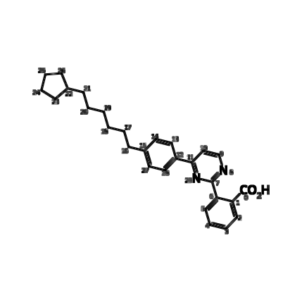 O=C(O)c1ccccc1-c1nccc(-c2ccc(CCCCCCC3CCCC3)cc2)n1